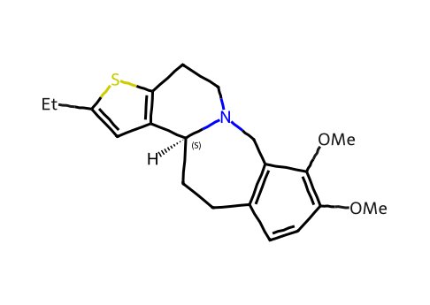 CCc1cc2c(s1)CCN1Cc3c(ccc(OC)c3OC)CC[C@@H]21